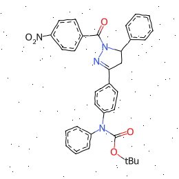 CC(C)(C)OC(=O)N(c1ccccc1)c1ccc(C2=NN(C(=O)c3ccc([N+](=O)[O-])cc3)C(c3ccccc3)C2)cc1